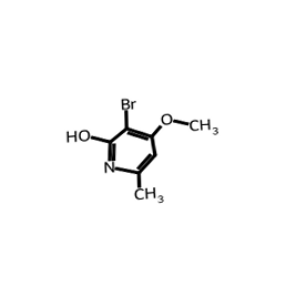 COc1cc(C)nc(O)c1Br